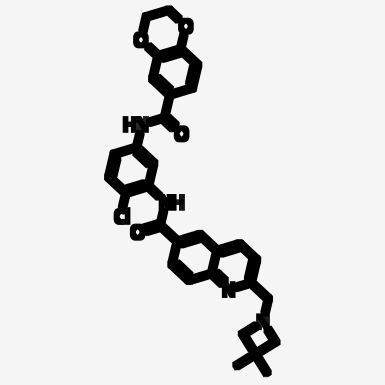 CC1(C)CN(Cc2ccc3cc(C(=O)Nc4cc(NC(=O)c5ccc6c(c5)OCCO6)ccc4Cl)ccc3n2)C1